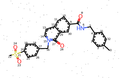 Cc1ccc(CNC(=O)c2ccc3ccn(Cc4ccc(S(C)(=O)=O)cc4)c(=O)c3c2)cc1